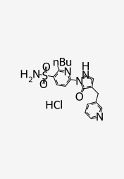 CCCCc1nc(-n2[nH]cc(Cc3cccnc3)c2=O)ccc1S(N)(=O)=O.Cl